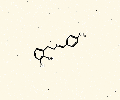 Cc1ccc(C=NCCc2cccc(O)c2O)cc1